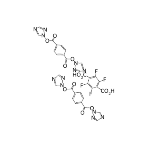 O=C(O)c1c(F)c(F)c(C(=O)O)c(F)c1F.O=C(On1cncn1)c1ccc(C(=O)On2cncn2)cc1.O=C(On1cncn1)c1ccc(C(=O)On2cncn2)cc1